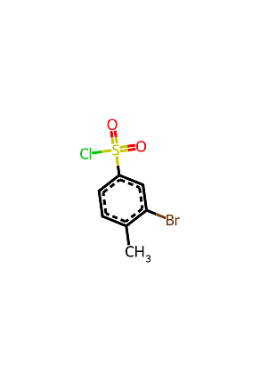 Cc1ccc(S(=O)(=O)Cl)cc1Br